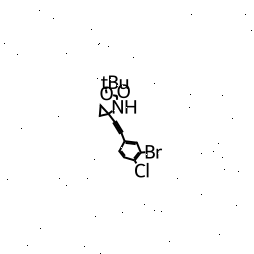 CC(C)(C)OC(=O)NC1(C#Cc2ccc(Cl)c(Br)c2)CC1